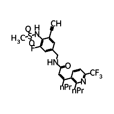 C#Cc1cc(CNC(=O)/C=C(/CCC)c2ccc(C(F)(F)F)nc2CCC)cc(F)c1NS(C)(=O)=O